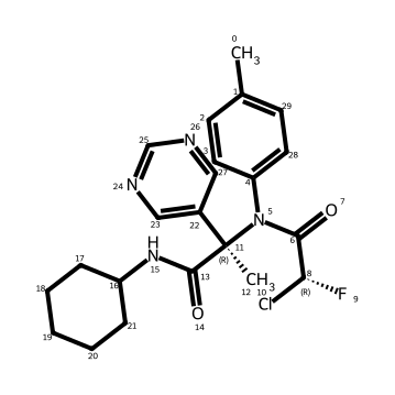 Cc1ccc(N(C(=O)[C@H](F)Cl)[C@@](C)(C(=O)NC2CCCCC2)c2cncnc2)cc1